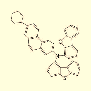 c1ccc2c(c1)oc1c(N(c3ccc4c(ccc5cc(C6CCCCC6)ccc54)c3)c3cccc4sc5ccccc5c34)cccc12